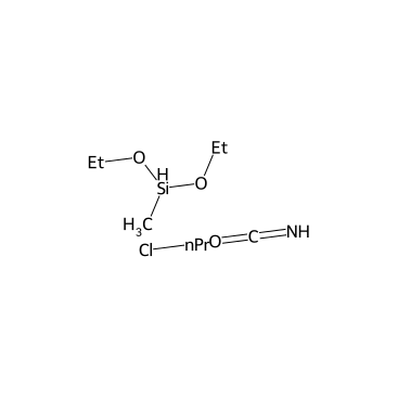 CCCCl.CCO[SiH](C)OCC.N=C=O